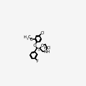 COc1cc(Cl)ccc1OC(c1cccc(F)c1)[C@@H]1CNCCO1.Cl